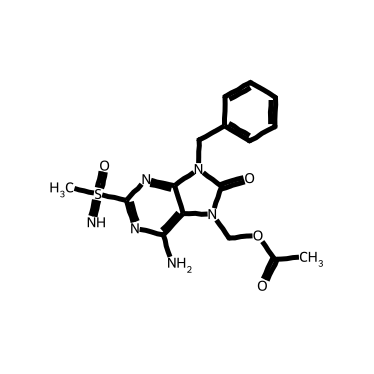 CC(=O)OCn1c(=O)n(Cc2ccccc2)c2nc(S(C)(=N)=O)nc(N)c21